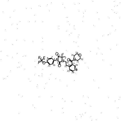 CC1(C)C(=O)N(c2ccc(OC(F)(F)F)cc2)C(=O)N1CCc1ccncc1C(=O)N1CCOCC1